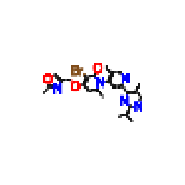 Cc1nc(COc2cc(C)n(-c3cc(-c4nc(C(C)C)ncc4C)ncc3C)c(=O)c2Br)co1